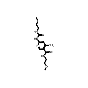 COCCNC(=N)c1cnc(NC(=O)NCCOC)cc1N